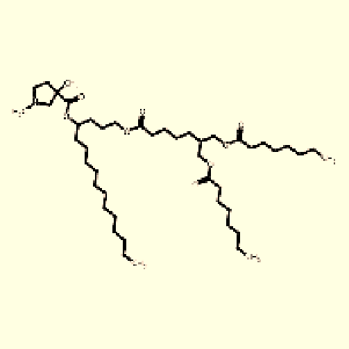 CCCCCCCCCCCCC(CCCOC(=O)CCCCC(COC(=O)CCCCCCC)COC(=O)CCCCCCC)OC(=O)C1(C)CCN(C)C1